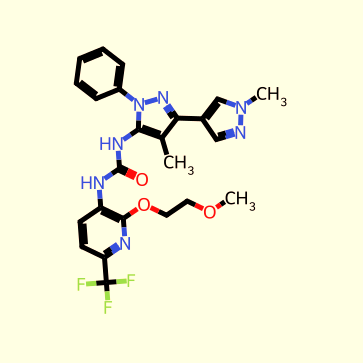 COCCOc1nc(C(F)(F)F)ccc1NC(=O)Nc1c(C)c(-c2cnn(C)c2)nn1-c1ccccc1